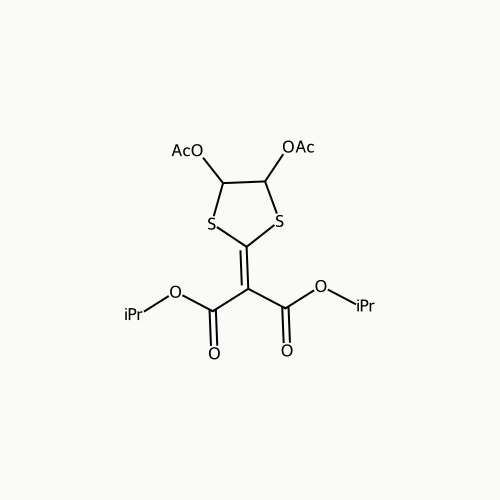 CC(=O)OC1SC(=C(C(=O)OC(C)C)C(=O)OC(C)C)SC1OC(C)=O